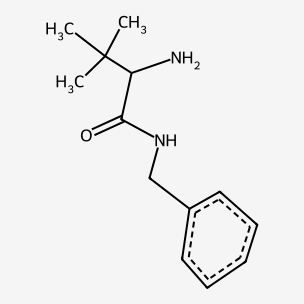 CC(C)(C)C(N)C(=O)NCc1ccccc1